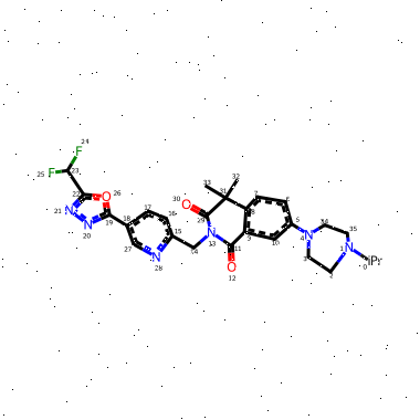 CC(C)N1CCN(c2ccc3c(c2)C(=O)N(Cc2ccc(-c4nnc(C(F)F)o4)cn2)C(=O)C3(C)C)CC1